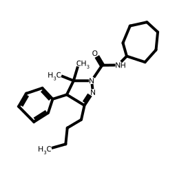 CCCCC1=NN(C(=O)NC2CCCCCC2)C(C)(C)C1c1ccccc1